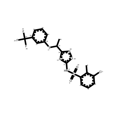 Cc1c(Cl)cccc1S(=O)(=O)Nc1nc(C(C)Sc2cccc(C(F)(F)F)c2)ns1